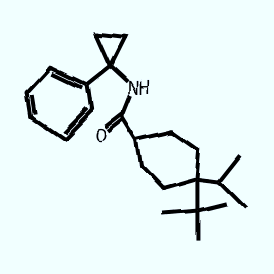 CC(C)C1(C(C)(C)C)CCC(C(=O)NC2(c3ccccc3)CC2)CC1